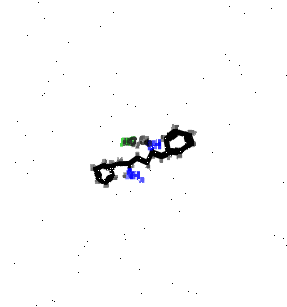 Cl.N[C@H](CCC(Cc1ccccc1)NC(=O)O)Cc1ccccc1